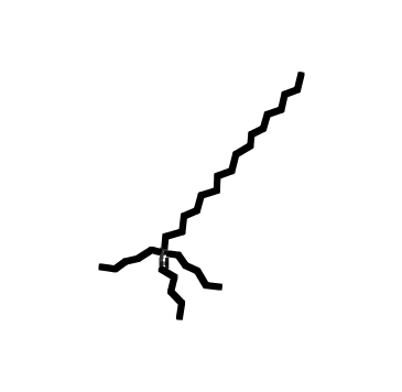 CCCCCCCCCCCCCCCCC[PH](CCCCC)(CCCCC)CCCCC